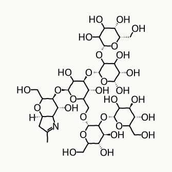 CC1=NC2[C@@H](O)[C@H](O[C@@H]3OC(CO[C@H]4OC(CO)[C@@H](O)[C@H](O)C4O[C@H]4OC(CO)[C@@H](O)[C@H](O)C4O)[C@@H](O)[C@H](O[C@H]4O[C@@H](O)[C@@H](O)C(O)C4O[C@H]4O[C@@H](CO)[C@@H](O)C(O)C4O)C3O)C(CO)O[C@@H]2C1